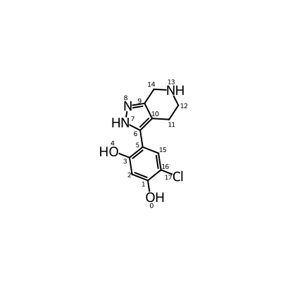 Oc1cc(O)c(-c2[nH]nc3c2CCNC3)cc1Cl